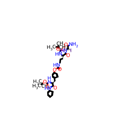 CC(C)(C)OC(=O)N[C@@H](Cc1ccc(OC(=O)NCCC[C@H](NC(=O)OC(C)(C)C)C(=O)N[C@@H](I)C(N)=O)cc1)C(=O)Nc1ccccc1